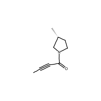 CC#CC(=O)N1CC[C@@H](C)C1